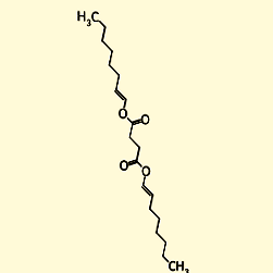 CCCCCCC=COC(=O)CCC(=O)OC=CCCCCCC